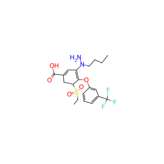 CCCCN(N)C1=C(Oc2cccc(C(F)(F)F)c2)C(S(=O)(=O)CC)CC(C(=O)O)=C1